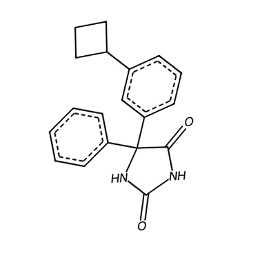 O=C1NC(=O)C(c2ccccc2)(c2cccc(C3CCC3)c2)N1